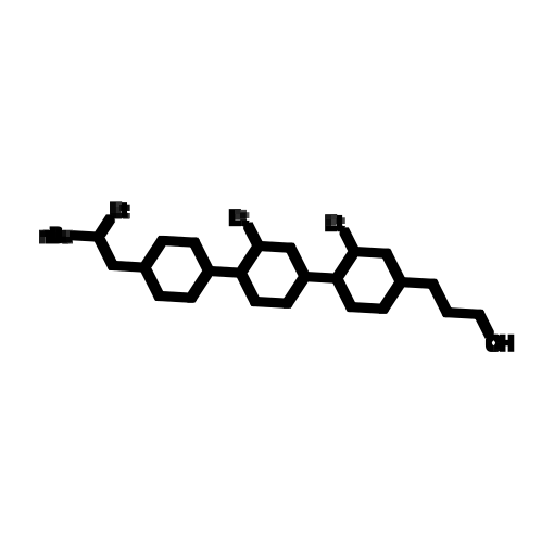 CCCCC(CC)CC1CCC(C2CCC(C3CCC(CCCO)CC3CC)CC2CC)CC1